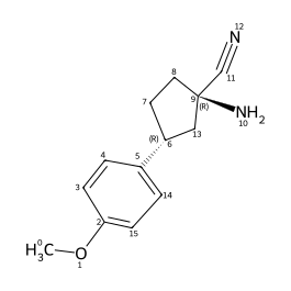 COc1ccc([C@@H]2CC[C@](N)(C#N)C2)cc1